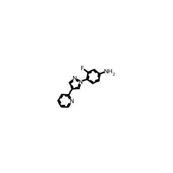 Nc1ccc(-n2cc(-c3ccccn3)cn2)c(F)c1